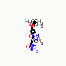 CN[C@@H](CCCNC(N)=O)C(=O)Nc1ccc(COC(=O)C(C)(C)C)cc1